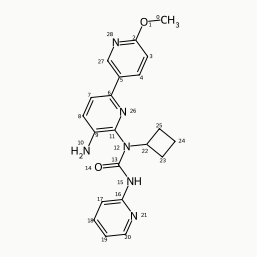 COc1ccc(-c2ccc(N)c(N(C(=O)Nc3ccccn3)C3CCC3)n2)cn1